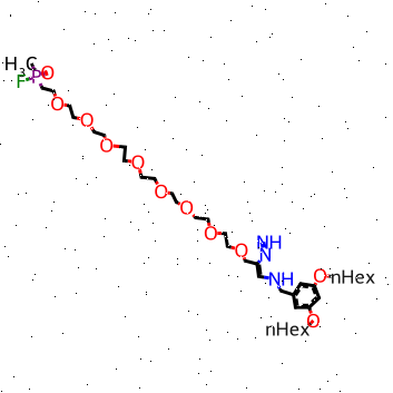 CCCCCCOc1cc(CN/C=C(/COCCOCCOCCOCCOCCOCCOCCOCCP(C)(=O)F)N=N)cc(OCCCCCC)c1